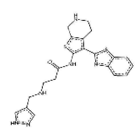 O=C(CCNCc1cn[nH]c1)Nc1sc2c(c1-c1nc3ccccc3s1)CCNC2